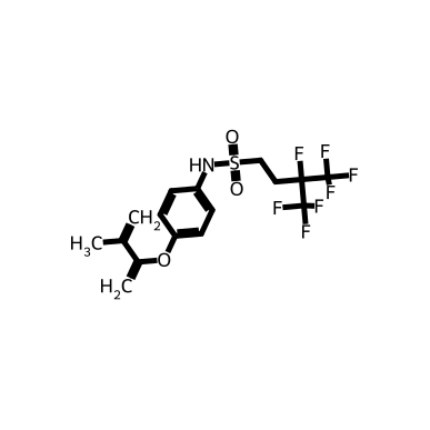 C=C(C)C(=C)Oc1ccc(NS(=O)(=O)CCC(F)(C(F)(F)F)C(F)(F)F)cc1